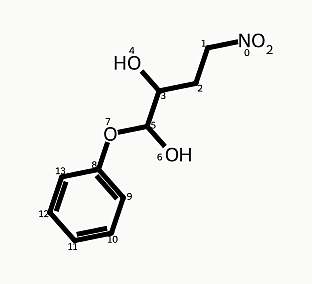 O=[N+]([O-])CCC(O)C(O)Oc1ccccc1